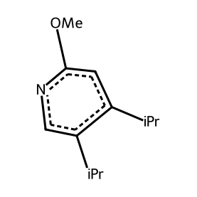 COc1cc(C(C)C)c(C(C)C)cn1